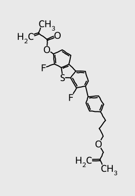 C=C(C)COCCCc1ccc(-c2ccc3c(sc4c(F)c(OC(=O)C(=C)C)ccc43)c2F)cc1